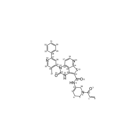 C=CC(=O)N1CCC=C(NC(=O)c2sc3nccc4c3c2NC(=O)N4c2cc(-c3ccccc3)ncc2C)C1